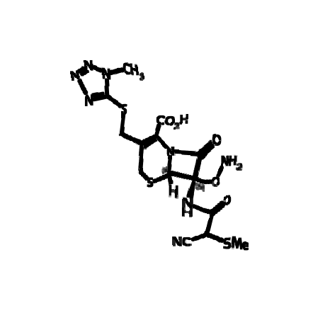 CSC(C#N)C(=O)N[C@]1(ON)C(=O)N2C(C(=O)O)=C(CSc3nnnn3C)CS[C@H]21